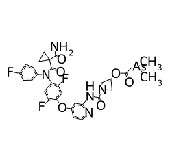 C[As](C)CC(=O)OC1CN(C(=O)Nc2cc(Oc3cc(F)c(N(C(=O)C4(C(N)=O)CC4)c4ccc(F)cc4)cc3F)ccn2)C1